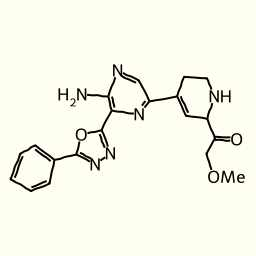 COCC(=O)C1C=C(c2cnc(N)c(-c3nnc(-c4ccccc4)o3)n2)CCN1